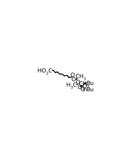 CCCCOC(C)(OCCCC)OC(C)OC(C)OC(=O)CCCCCCCCC(=O)O